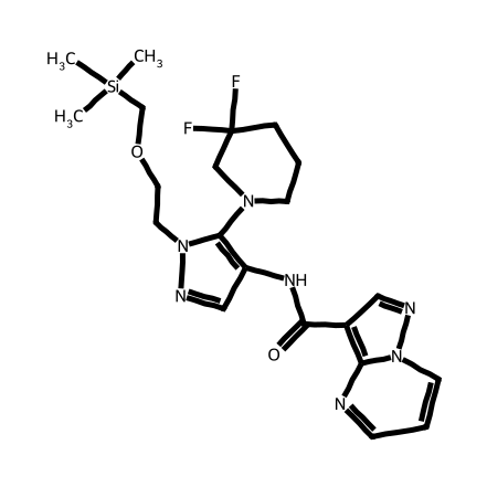 C[Si](C)(C)COCCn1ncc(NC(=O)c2cnn3cccnc23)c1N1CCCC(F)(F)C1